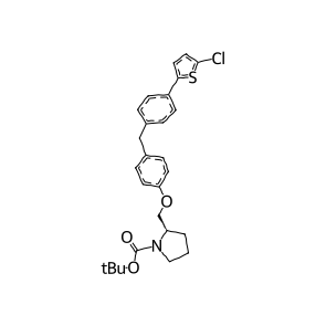 CC(C)(C)OC(=O)N1CCC[C@@H]1COc1ccc(Cc2ccc(-c3ccc(Cl)s3)cc2)cc1